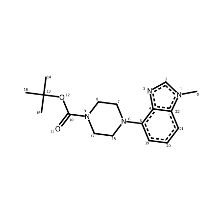 Cn1cnc2c(N3CCN(C(=O)OC(C)(C)C)CC3)cccc21